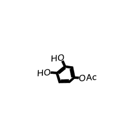 CC(=O)Oc1ccc(O)c(O)c1